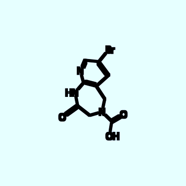 O=C1CN(C(=O)O)Cc2cc(Br)cnc2N1